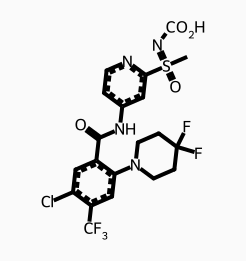 CS(=O)(=NC(=O)O)c1cc(NC(=O)c2cc(Cl)c(C(F)(F)F)cc2N2CCC(F)(F)CC2)ccn1